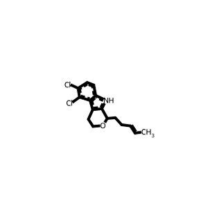 C/C=C/CCC1OCCc2c1[nH]c1ccc(Cl)c(Cl)c21